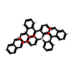 c1ccc(N(c2ccc(-c3ccc4ccccc4c3)cc2)c2ccccc2-c2cc3ccccc3c3ccccc23)c(-c2cccc3ccccc23)c1